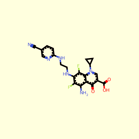 N#Cc1ccc(NCCNc2c(F)c(N)c3c(=O)c(C(=O)O)cn(C4CC4)c3c2F)nc1